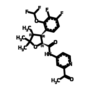 CC(=O)c1cc(NC(=O)[C@@H]2OC(C)(C)[C@@H](C)[C@@H]2c2ccc(F)c(F)c2OC(F)F)ccn1